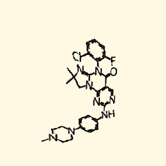 CN1CCN(c2ccc(Nc3ncc4c(n3)N3CC(C)(C)N=C3N(c3c(F)cccc3Cl)C4=O)cc2)CC1